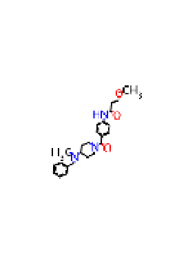 COC=CC(=O)Nc1ccc(C(=O)N2CCC(N(C)Cc3ccccc3)CC2)cc1